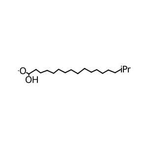 CC(C)CCCCCCCCCCCCCCC([O])O